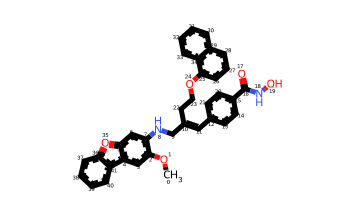 COc1cc2c(cc1NC/C(=C/c1ccc(C(=O)NO)cc1)CCOc1cccc3ccccc13)oc1ccccc12